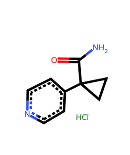 Cl.NC(=O)C1(c2ccncc2)CC1